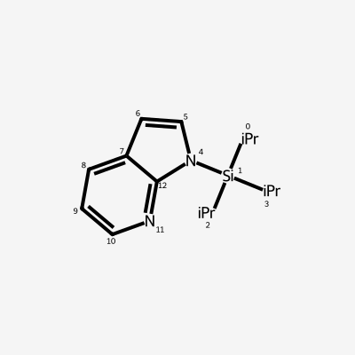 CC(C)[Si](C(C)C)(C(C)C)n1ccc2cccnc21